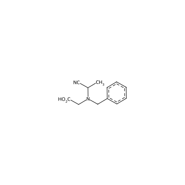 CC(C#N)N(CC(=O)O)Cc1ccccc1